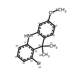 COc1ccc2c(c1)Nc1cccc(Br)c1C2(C)C